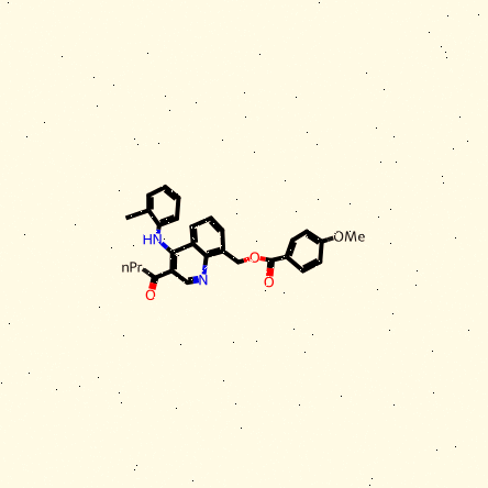 CCCC(=O)c1cnc2c(COC(=O)c3ccc(OC)cc3)cccc2c1Nc1ccccc1C